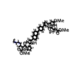 C=C(/C=C\C=C/C)[C@@H](NC(=O)OC)C(=O)N1CCC[C@H]1c1ncc(-c2ccc3cc(-c4ccc(-c5cnc([C@@H]6C[C@H](OC)CN6C(=O)[C@@H](NC(=O)OC)C(C)C)[nH]5)cc4)ccc3c2)[nH]1